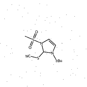 CCCCN1C=CN(S(C)(=O)=O)C1SC#N